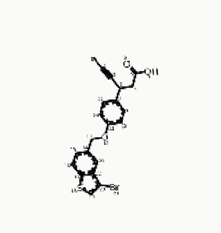 CC#CC(CC(=O)O)c1ccc(OCc2ccc3scc(Br)c3c2)cc1